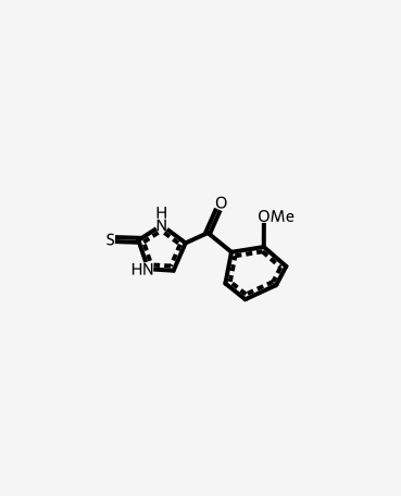 COc1ccccc1C(=O)c1c[nH]c(=S)[nH]1